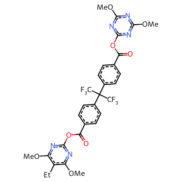 CCc1c(OC)nc(OC(=O)c2ccc(C(c3ccc(C(=O)Oc4nc(OC)nc(OC)n4)cc3)(C(F)(F)F)C(F)(F)F)cc2)nc1OC